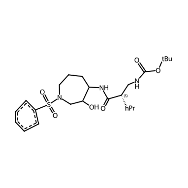 CCC[C@@H](CNC(=O)OC(C)(C)C)C(=O)NC1CCCN(S(=O)(=O)c2ccccc2)CC1O